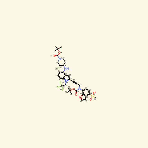 CC(C)(C)OC(=O)N1CC[C@@H](Nc2cccc3c2cc(C#CCN(C(=O)OC(C)(C)C)c2ccc(S(C)(=O)=O)c4ccoc24)n3CC(F)(F)F)[C@@H](F)C1